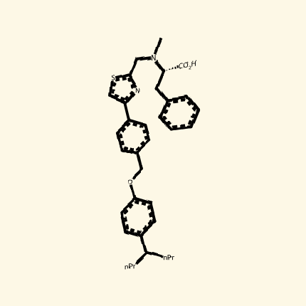 CCCC(CCC)c1ccc(OCc2ccc(-c3csc(CN(C)[C@@H](Cc4ccccc4)C(=O)O)n3)cc2)cc1